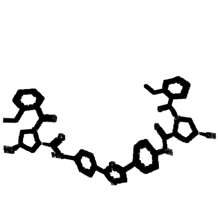 CCc1ccccc1C(=O)N1C[C@H](O)C[C@H]1C(=O)Nc1ccc(-c2cnc(-c3ccc(NC(=O)[C@@H]4C[C@@H](O)CN4C(=O)c4ccccc4CC)cc3)o2)cc1